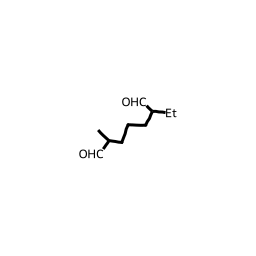 [CH2]CC(C=O)CCCC(C)C=O